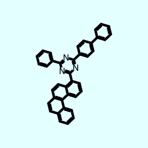 c1ccc(-c2ccc(-c3nc(-c4ccccc4)nc(-c4cccc5c4ccc4ccc6ccccc6c45)n3)cc2)cc1